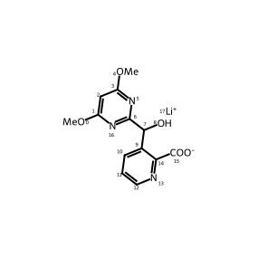 COc1cc(OC)nc(C(O)c2cccnc2C(=O)[O-])n1.[Li+]